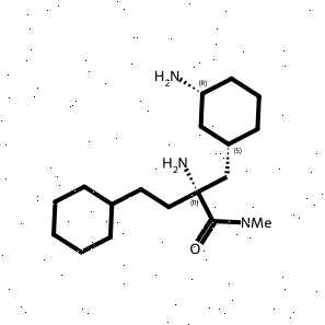 CNC(=O)[C@@](N)(CCC1CCCCC1)C[C@H]1CCC[C@@H](N)C1